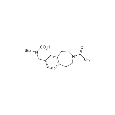 CC(C)(C)N(Cc1ccc2c(c1)CCN(C(=O)C(F)(F)F)CC2)C(=O)O